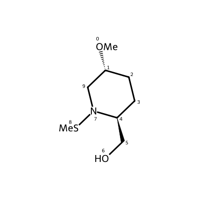 CO[C@@H]1CC[C@@H](CO)N(SC)C1